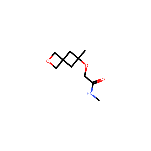 CNC(=O)COC1(C)CC2(COC2)C1